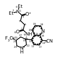 CCN(CC)C(=O)CCC(=O)N[C@]1(c2ccc(C#N)c3ncccc23)CNC[C@@H](C(F)(F)F)C1